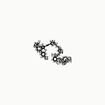 Cc1c(C#Cc2cnn(CCCn3cnc(CNc4cccc(C=O)c4CN(C)C4CCC(=O)NC4=O)c3)c2)sc2c1C(c1ccc(Cl)cc1)=NCc1nnc(C)n1-2